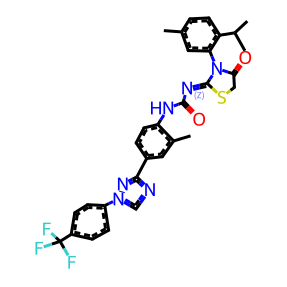 Cc1ccc(C(C)C)c(N2C(=O)CS/C2=N\C(=O)Nc2ccc(-c3ncn(-c4ccc(C(F)(F)F)cc4)n3)cc2C)c1